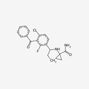 CCC(NC1(C(N)=O)CC1)c1ccc(Cl)c(C(=O)c2ccccc2)c1F